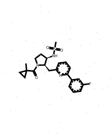 CC1(C(=O)N2CC[C@@H](NS(C)(=O)=O)[C@H]2Cc2cccc(-c3cccc(F)c3)n2)CC1